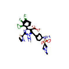 COC(=O)C1=C(C2CCC(NS(=O)(=O)C3CN(C)C3)CC2)NC(c2nccs2)=NC1c1ccc(F)c(F)c1Cl